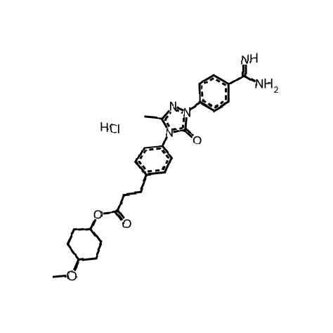 COC1CCC(OC(=O)CCc2ccc(-n3c(C)nn(-c4ccc(C(=N)N)cc4)c3=O)cc2)CC1.Cl